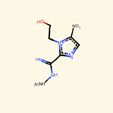 CC(=O)NNC(=N)c1ncc([N+](=O)[O-])n1CCO